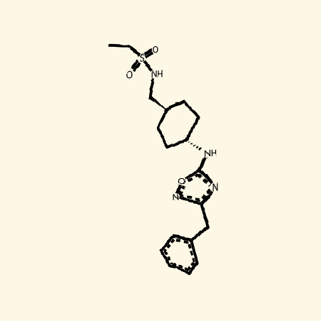 CCS(=O)(=O)NC[C@H]1CC[C@H](Nc2nc(Cc3ccccc3)no2)CC1